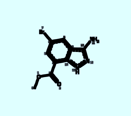 COC(=O)c1cc(Br)cc2c(N)n[nH]c12